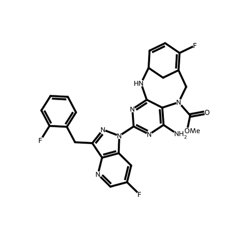 COC(=O)N1CC2=C(F)C=CC(C2)Nc2nc(-n3nc(Cc4ccccc4F)c4ncc(F)cc43)nc(N)c21